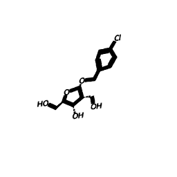 OC[C@H]1[C@@H](OCc2ccc(Cl)cc2)O[C@H](CO)[C@H]1O